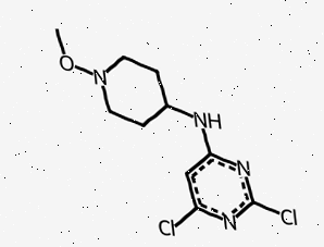 CON1CCC(Nc2cc(Cl)nc(Cl)n2)CC1